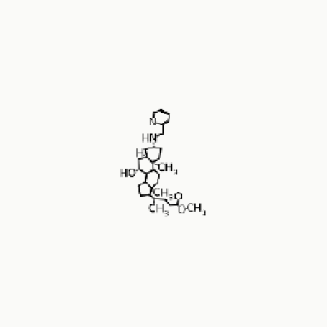 COC(=O)CC[C@@H](C)[C@H]1CCC2C3C(CC[C@@]21C)[C@@]1(C)CC[C@H](NCc2ccccn2)C[C@@H]1C[C@H]3O